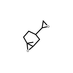 CC12CCC(C3CO3)CC1O2